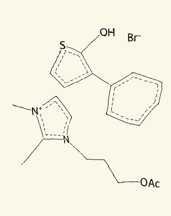 CC(=O)OCCCn1cc[n+](C)c1C.Oc1sccc1-c1ccccc1.[Br-]